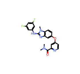 CN(C)C(=O)c1cc(Oc2ccc3c(c2)nc(Nc2cc(F)cc(F)c2)n3C)ccn1